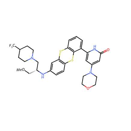 COC[C@H](CN1CCC(C(F)(F)F)CC1)Nc1ccc2c(c1)Sc1cccc(-c3cc(N4CCOCC4)cc(=O)[nH]3)c1S2